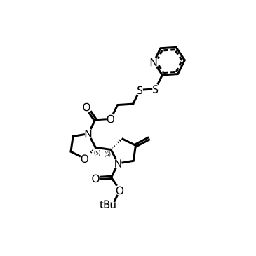 C=C1C[C@@H]([C@@H]2OCCN2C(=O)OCCSSc2ccccn2)N(C(=O)OC(C)(C)C)C1